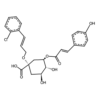 O=C(/C=C/c1ccc(O)cc1)O[C@@H]1C[C@](OC/C=C/c2ccccc2Cl)(C(=O)O)C[C@H](O)[C@H]1O